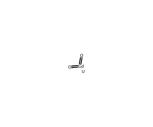 [O]=[Gd]=[O].[U]